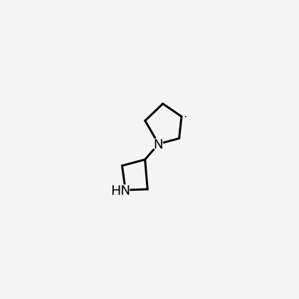 [CH]1CCN(C2CNC2)C1